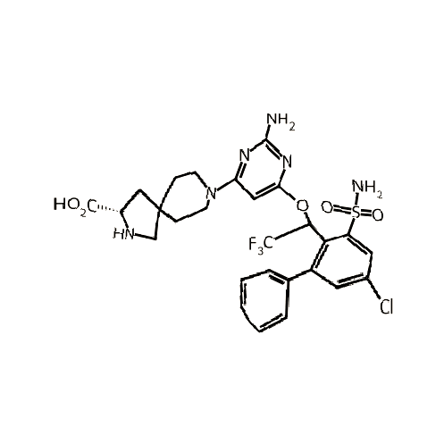 Nc1nc(OC(c2c(-c3ccccc3)cc(Cl)cc2S(N)(=O)=O)C(F)(F)F)cc(N2CCC3(CC2)CN[C@H](C(=O)O)C3)n1